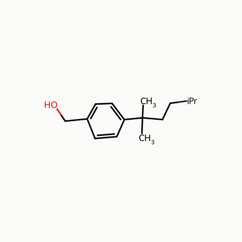 CC(C)CCC(C)(C)c1ccc(CO)cc1